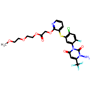 COCCOCCOC(=O)COc1ncccc1Sc1cc(-n2c(=O)cc(C(F)(F)F)n(N)c2=O)c(F)cc1Cl